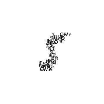 COC(=O)N[C@H](C(=O)N1CCC[C@H]1c1nc2c(ccc3cc(-c4ccc5c(ccc6nc([C@@H]7CCCN7C(=O)[C@@H](NC(=O)OC)C(C)C)[nH]c65)c4)ccc32)[nH]1)C(C)C